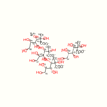 CCC(O)(C(=O)[O-])C(O)C(O)C(O)CO.CCC(O)(C(=O)[O-])C(O)C(O)C(O)CO.CCC(O)(C(=O)[O-])C(O)C(O)C(O)CO.CCC(O)(C(=O)[O-])C(O)C(O)C(O)CO.[Ti+4]